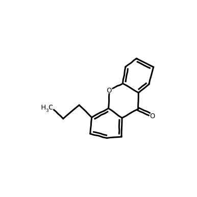 CCCc1cccc2c(=O)c3ccccc3oc12